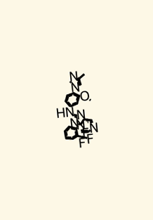 COc1cc(NC2=N[N+]3(c4ccccc4C(F)(F)F)C=CN=CC3=N2)ccc1-n1cnc(C)c1